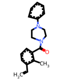 C=Cc1cccc(C(=O)N2CCN(c3ccccc3)CC2)c1C